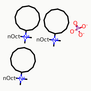 CCCCCCCC[N+](C)(C)C1CCCCCCCCCCC1.CCCCCCCC[N+](C)(C)C1CCCCCCCCCCC1.CCCCCCCC[N+](C)(C)C1CCCCCCCCCCC1.O=P([O-])([O-])[O-]